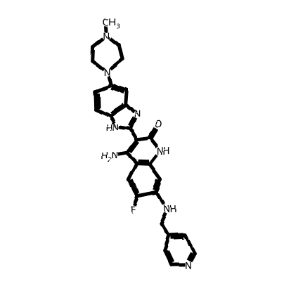 CN1CCN(c2ccc3[nH]c(-c4c(N)c5cc(F)c(NCc6ccncc6)cc5[nH]c4=O)nc3c2)CC1